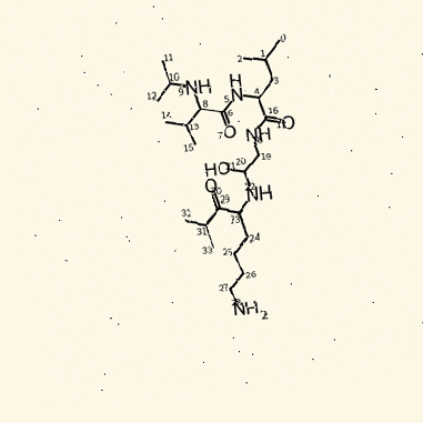 CC(C)CC(NC(=O)C(NC(C)C)C(C)C)C(=O)NCC(O)NC(CCCCN)C(=O)C(C)C